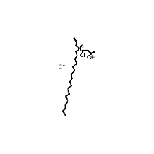 C=CC[N+](C)(CCCCCCCCCCCCCCCCCC)C(Cl)CC(C)O.[Cl-]